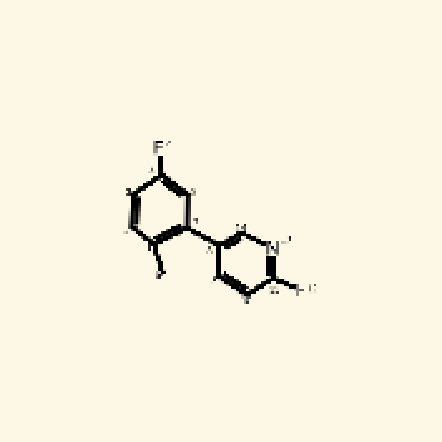 Cc1ccc(F)cc1-c1ccc(F)nc1